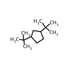 CC(C)(C)C1[CH]C(C(C)(C)C)CC1